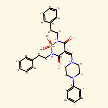 O=C1C(=CN2CCN(c3ccccc3)CC2)C(=O)N(CCc2ccccc2)S(=O)(=O)N1CCc1ccccc1